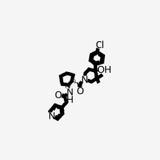 CC1(C)CN(C(=O)[C@H]2CCCC[C@H]2NC(=O)Cc2ccncc2)CC[C@]1(O)c1ccc(Cl)cc1